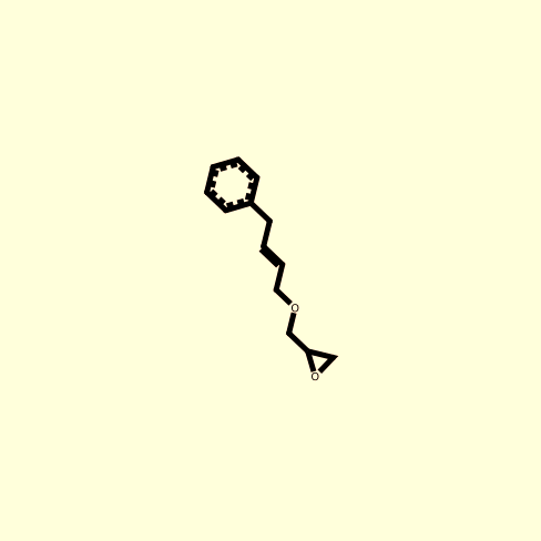 C(=CCc1ccccc1)COCC1CO1